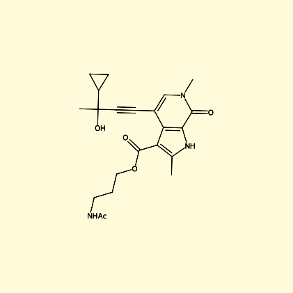 CC(=O)NCCCOC(=O)c1c(C)[nH]c2c(=O)n(C)cc(C#CC(C)(O)C3CC3)c12